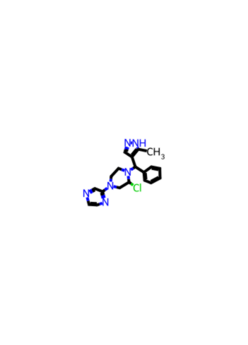 Cc1[nH]ncc1C(c1ccccc1)N1CCN(c2cnccn2)CC1Cl